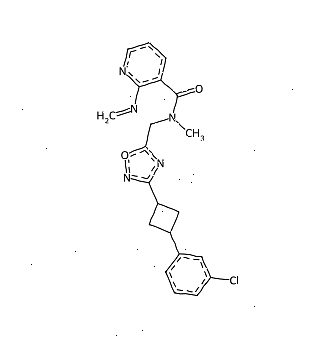 C=Nc1ncccc1C(=O)N(C)Cc1nc(C2CC(c3cccc(Cl)c3)C2)no1